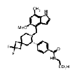 COc1cc(C)c2[nH]ccc2c1CN1CCC2(C[C@H]1c1ccc(C(=O)NCC(=O)O)cc1)CC(F)(F)C2